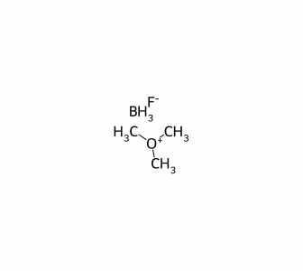 B.C[O+](C)C.[F-]